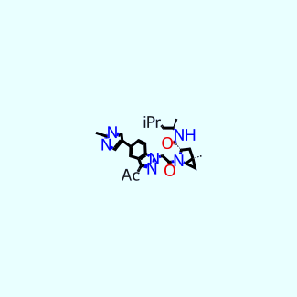 CC(=O)c1nn(CC(=O)N2C3C[C@]3(C)C[C@H]2C(=O)N[C@H](C)CC(C)C)c2ccc(-c3cnc(C)nc3)cc12